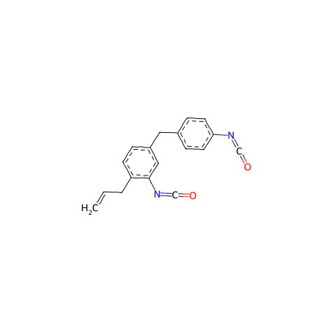 C=CCc1ccc(Cc2ccc(N=C=O)cc2)cc1N=C=O